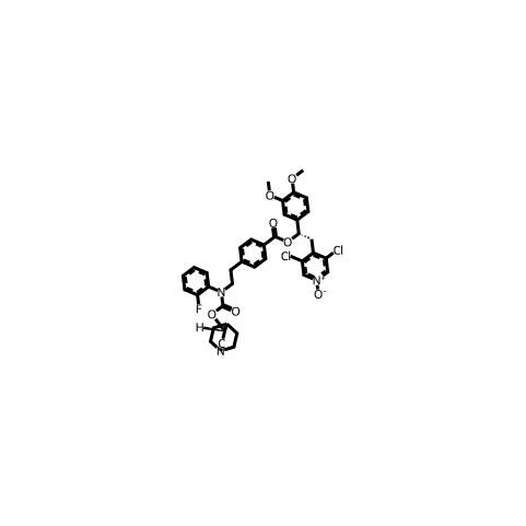 COc1ccc([C@H](Cc2c(Cl)c[n+]([O-])cc2Cl)OC(=O)c2ccc(CCN(C(=O)O[C@H]3CN4CCC3CC4)c3ccccc3F)cc2)cc1OC